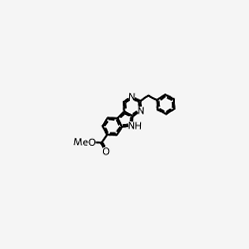 COC(=O)c1ccc2c(c1)[nH]c1nc(Cc3ccccc3)ncc12